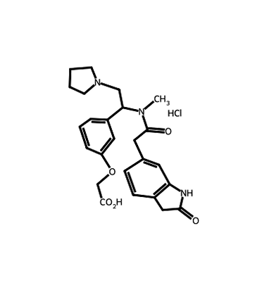 CN(C(=O)Cc1ccc2c(c1)NC(=O)C2)C(CN1CCCC1)c1cccc(OCC(=O)O)c1.Cl